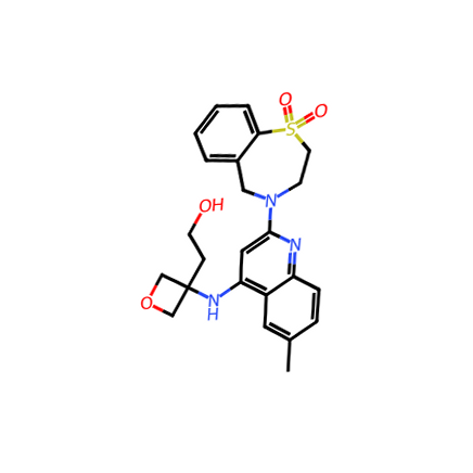 Cc1ccc2nc(N3CCS(=O)(=O)c4ccccc4C3)cc(NC3(CCO)COC3)c2c1